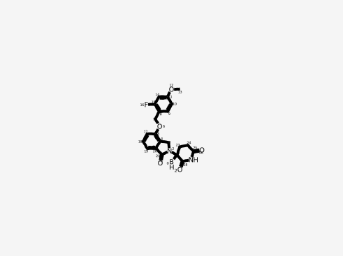 BC1(N2Cc3c(OCc4ccc(OC)cc4F)cccc3C2=O)CCC(=O)NC1=O